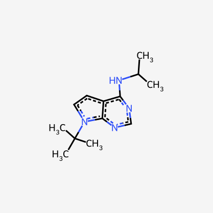 CC(C)Nc1ncnc2c1ccn2C(C)(C)C